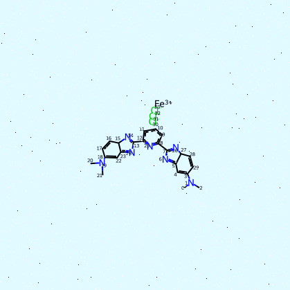 CN(C)C1=CC2=NC(c3cccc(C4=NC5C=CC(N(C)C)=CC5=N4)n3)=NC2C=C1.[Cl-].[Cl-].[Cl-].[Fe+3]